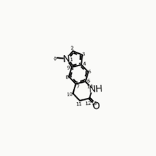 Cn1ccc2cc3c(cc21)CCC(=O)N3